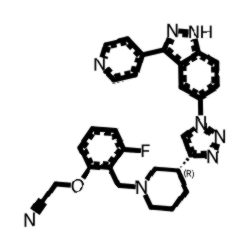 N#CCOc1cccc(F)c1CN1CCC[C@@H](c2cn(-c3ccc4[nH]nc(-c5ccncc5)c4c3)nn2)C1